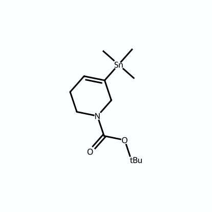 CC(C)(C)OC(=O)N1CCC=[C]([Sn]([CH3])([CH3])[CH3])C1